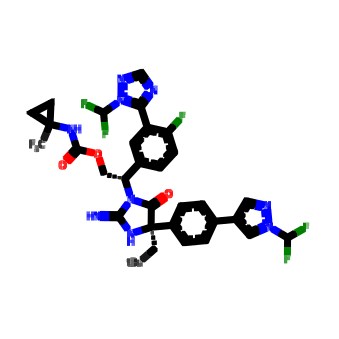 CC(C)(C)C[C@]1(c2ccc(-c3cnn(C(F)F)c3)cc2)NC(=N)N([C@H](COC(=O)NC2(C(F)(F)F)CC2)c2ccc(F)c(-c3ncnn3C(F)F)c2)C1=O